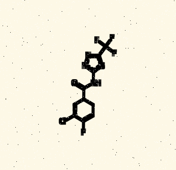 O=C(Nc1nnc(C(F)(F)F)s1)C1C=C(Cl)C(F)=CC1